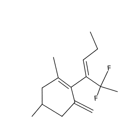 C=C1CC(C)CC(C)=C1/C(=C/CC)C(C)(F)F